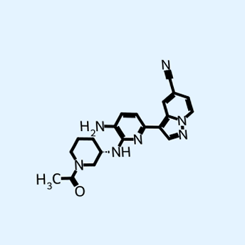 CC(=O)N1CCC[C@H](Nc2nc(-c3cnn4ccc(C#N)cc34)ccc2N)C1